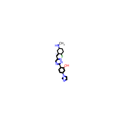 CNC1CCC(F)/C(=C\c2cnc(-c3ccc(-n4ccnc4)cc3O)nn2)C1